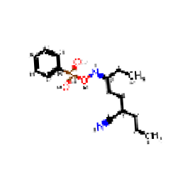 CCCC(C#N)CCC(CC)=NOS(=O)(=O)c1ccccc1